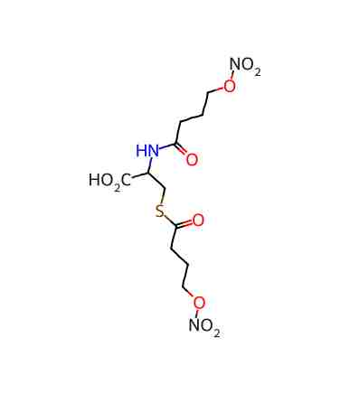 O=C(CCCO[N+](=O)[O-])NC(CSC(=O)CCCO[N+](=O)[O-])C(=O)O